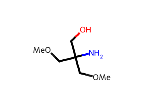 COCC(N)(CO)COC